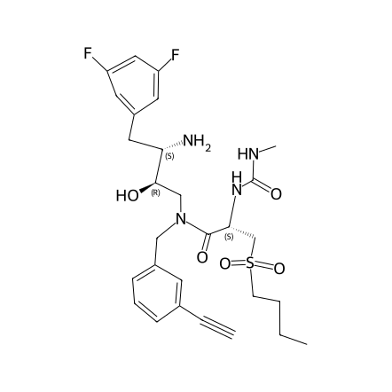 C#Cc1cccc(CN(C[C@@H](O)[C@@H](N)Cc2cc(F)cc(F)c2)C(=O)[C@@H](CS(=O)(=O)CCCC)NC(=O)NC)c1